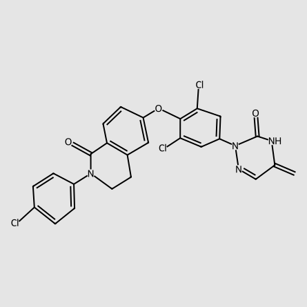 C=C1C=NN(c2cc(Cl)c(Oc3ccc4c(c3)CCN(c3ccc(Cl)cc3)C4=O)c(Cl)c2)C(=O)N1